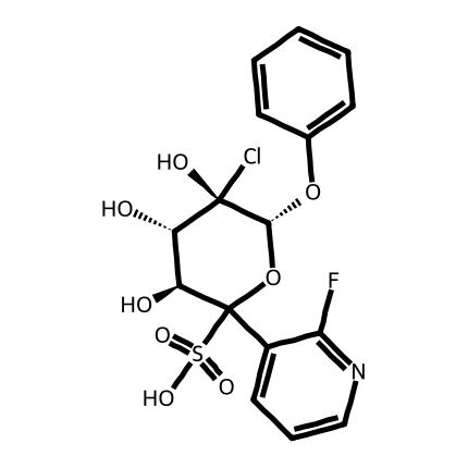 O=S(=O)(O)C1(c2cccnc2F)O[C@@H](Oc2ccccc2)[C@@](O)(Cl)[C@@H](O)[C@@H]1O